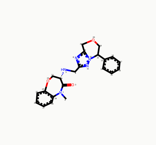 CN1C(=O)[C@@H](NCc2nc3n(n2)C(c2ccccc2)COC3)COc2ccccc21